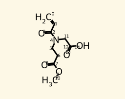 C=CC(=O)N(CCC(=O)OC)CC(=O)O